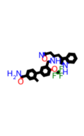 Cc1cc(C(N)=O)ccc1-c1ccc(OC(F)(F)F)c(C(=O)NC(CC#N)Cc2c[nH]c3ccccc23)c1